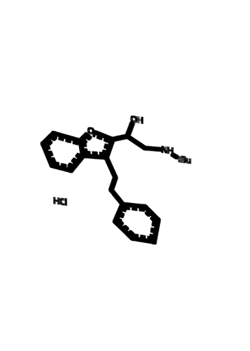 CC(C)(C)NCC(O)c1oc2ccccc2c1CCc1ccccc1.Cl